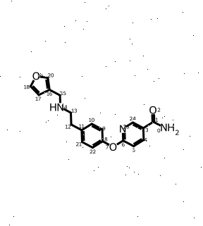 NC(=O)c1ccc(Oc2ccc(CCNCc3ccoc3)cc2)nc1